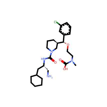 CN(CCO[C@@H](c1cccc(Cl)c1)[C@@H]1CCCN(C(=O)N[C@H](CN)CC2CCCCC2)C1)C(=O)O